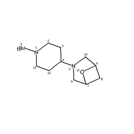 CC(C)(C)N1CCC(N2CC3CC(C2)O3)CC1